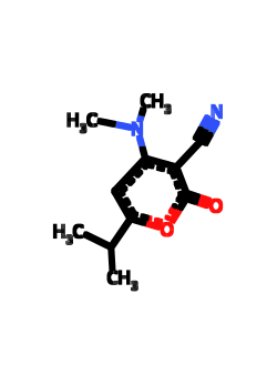 CC(C)c1cc(N(C)C)c(C#N)c(=O)o1